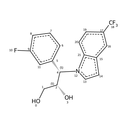 OC[C@@H](O)[C@H](c1cccc(F)c1)n1ccc2cc(C(F)(F)F)ccc21